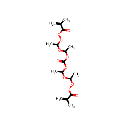 C=C(C)C(=O)OOC(C)OC(C)OC(=O)OC(C)OC(C)OOC(=O)C(=C)C